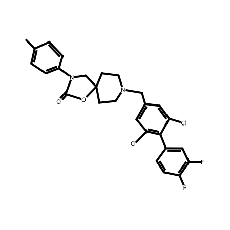 Cc1ccc(N2CC3(CCN(Cc4cc(Cl)c(-c5ccc(F)c(F)c5)c(Cl)c4)CC3)OC2=O)cc1